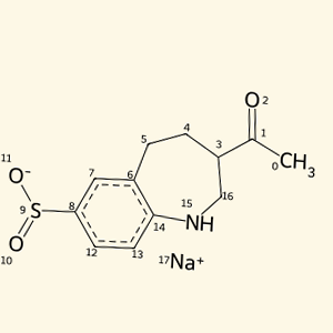 CC(=O)C1CCc2cc(S(=O)[O-])ccc2NC1.[Na+]